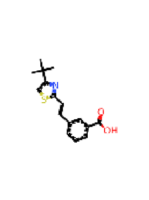 CC(C)(C)c1csc(C=Cc2cccc(C(=O)O)c2)n1